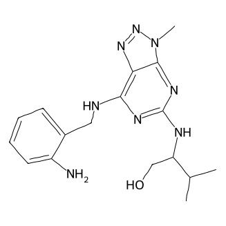 CC(C)C(CO)Nc1nc(NCc2ccccc2N)c2nnn(C)c2n1